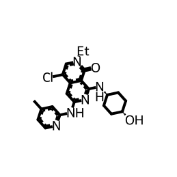 CCn1cc(Cl)c2cc(Nc3cc(C)ccn3)nc(N[C@H]3CC[C@@H](O)CC3)c2c1=O